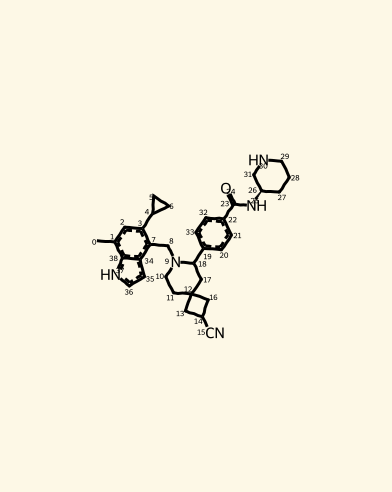 Cc1cc(C2CC2)c(CN2CCC3(CC(C#N)C3)CC2c2ccc(C(=O)N[C@@H]3CCCNC3)cc2)c2cc[nH]c12